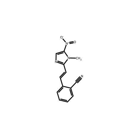 Cn1c([N+](=O)[O-])cnc1/C=C/c1ccccc1C#N